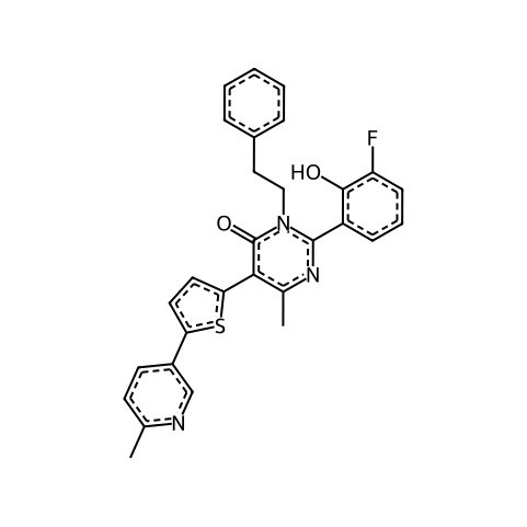 Cc1ccc(-c2ccc(-c3c(C)nc(-c4cccc(F)c4O)n(CCc4ccccc4)c3=O)s2)cn1